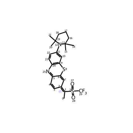 C/C(=c1\ccc2c(c1)Sc1cc(N3C(C)(C)CCCC3(C)C)ccc1N=2)S(=O)(=O)C(F)(F)F